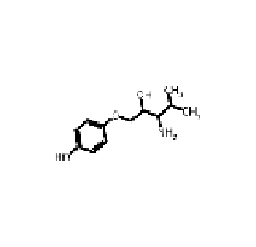 CC(C)C(N)C(O)COc1ccc(O)cc1